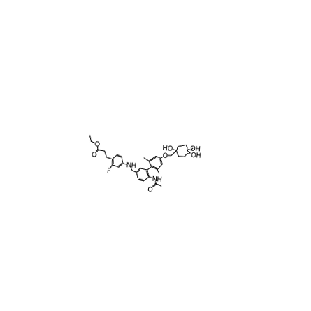 CCOC(=O)CCc1ccc(NCc2ccc(NC(C)=O)c(-c3c(C)cc(OCC4(O)CCS(O)(O)CC4)cc3C)c2)cc1F